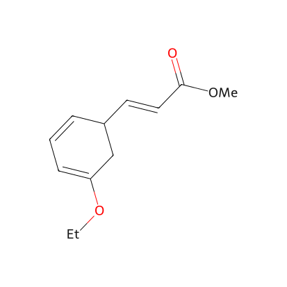 CCOC1=CC=CC(C=CC(=O)OC)C1